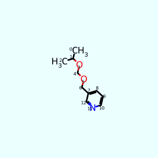 CC(C)OCOCc1cccnc1